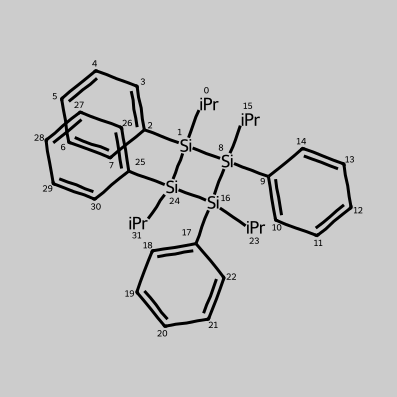 CC(C)[Si]1(c2ccccc2)[Si](c2ccccc2)(C(C)C)[Si](c2ccccc2)(C(C)C)[Si]1(c1ccccc1)C(C)C